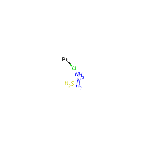 N.N.S.[Cl][Pt]